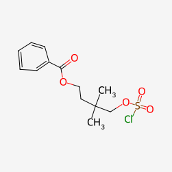 CC(C)(CCOC(=O)c1ccccc1)COS(=O)(=O)Cl